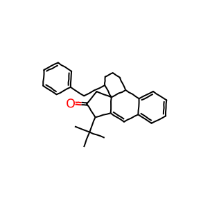 CC(C)(C)C1C(=O)CC23C1=Cc1ccccc1C2CCCC3Cc1ccccc1